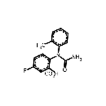 NC(=O)N(c1ccc(F)cc1C(=O)O)c1ccccc1C(F)(F)F